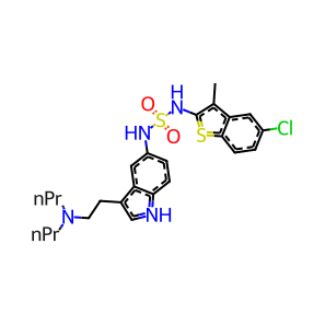 CCCN(CCC)CCc1c[nH]c2ccc(NS(=O)(=O)Nc3sc4ccc(Cl)cc4c3C)cc12